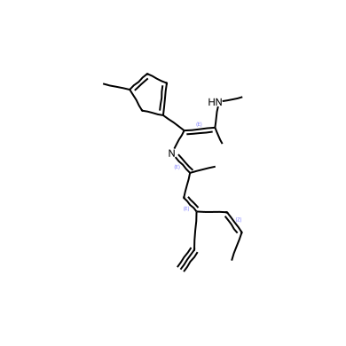 C#CC(/C=C\C)=C/C(C)=N/C(C1=CC=C(C)C1)=C(\C)NC